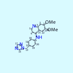 COc1cc2nccc(Nc3ccc(Cn4cncn4)cc3)c2cc1OC